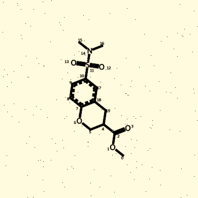 COC(=O)C1COc2ccc(S(=O)(=O)N(C)C)cc2C1